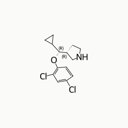 Clc1ccc(O[C@H](C2CC2)[C@@H]2CCNC2)c(Cl)c1